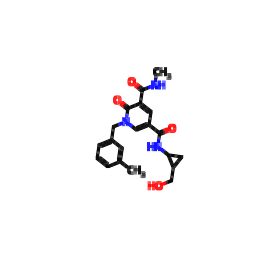 CNC(=O)c1cc(C(=O)NC2CC2CO)cn(Cc2cccc(C)c2)c1=O